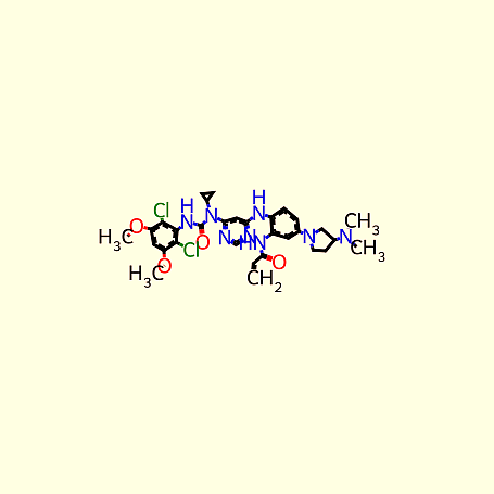 C=CC(=O)Nc1cc(N2CCC(N(C)C)C2)ccc1Nc1cc(N(C(=O)Nc2c(Cl)c(OC)cc(OC)c2Cl)C2CC2)ncn1